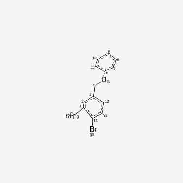 CCCc1cc(COc2ccccc2)ccc1Br